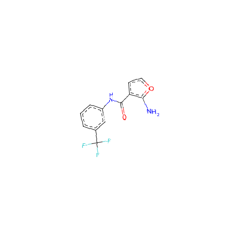 Nc1occc1C(=O)Nc1cccc(C(F)(F)F)c1